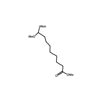 CCCCCCCCCC(CCCCCCCC(=O)OC)OC